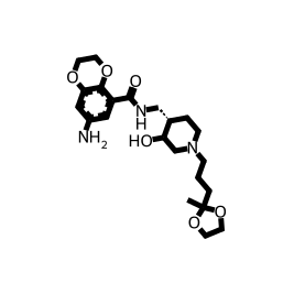 CC1(CCCN2CC[C@@H](CNC(=O)c3cc(N)cc4c3OCCO4)C(O)C2)OCCO1